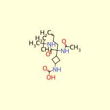 C=CCCC(NC(C)=O)(C(=O)NC(C)(C)C)C1CC(NC(=O)O)C1